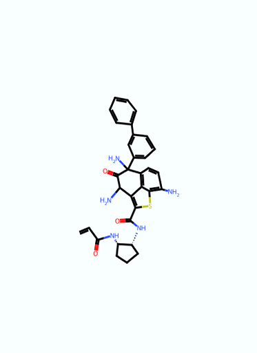 C=CC(=O)N[C@H]1CCC[C@H]1NC(=O)c1sc2c(N)ccc3c2c1C(N)C(=O)C3(N)c1cccc(-c2ccccc2)c1